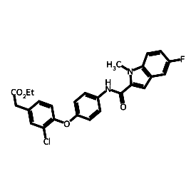 CCOC(=O)Cc1ccc(Oc2ccc(NC(=O)c3cc4cc(F)ccc4n3C)cc2)c(Cl)c1